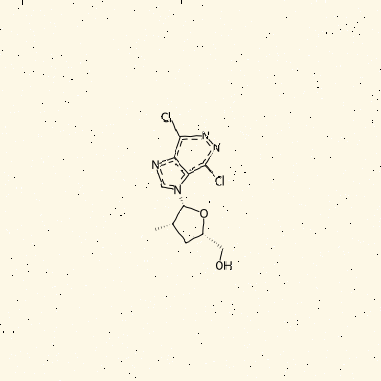 C[C@H]1C[C@@H](CO)O[C@H]1n1cnc2c(Cl)nnc(Cl)c21